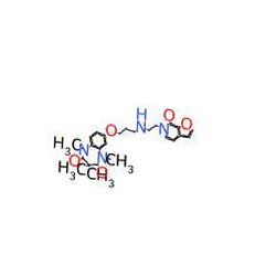 CN1C(=O)C(C)(C)C(=O)N(C)c2cc(OCCCNCCn3ccc4ccoc4c3=O)ccc21